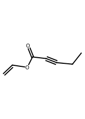 C=COC(=O)C#CCC